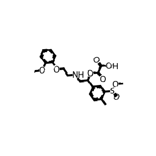 COc1ccccc1OCCNCC(OC(=O)C(=O)O)c1ccc(C)c(S(=O)OC)c1